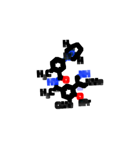 CCCOc1c(OC)cc([C@@H](C)NC(=O)c2cc(N3C[C@H]4CC[C@@H](C3)N4CC)ccc2C)cc1/C(C=N)=C/NC